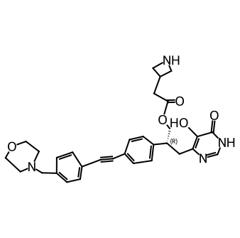 O=C(CC1CNC1)OC[C@H](Cc1nc[nH]c(=O)c1O)c1ccc(C#Cc2ccc(CN3CCOCC3)cc2)cc1